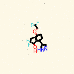 OC1c2c(-c3cn[nH]c3)ccc(OCC(F)F)c2CC1(F)F